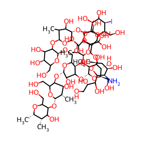 CC1C(O)[C@H](O[C@@H]2OC(CO[C@]3(C(=O)O)C[C@@H](O)[C@@H](N)C(C(O)C(O)CO)O3)[C@H](O)C(O)C2O)[C@H](CO)O[C@H]1O[C@@H]1C(O)[C@H](O)C(CO)O[C@@H]1OCC1O[C@@H](O[C@@H]2C(CO)O[C@@H](O[C@@H]3C(CO)O[C@@H](C)[C@@H](C)C3O)[C@@H](C)C2O)[C@H](O)C(O[C@H]2O[C@H](CO)[C@@H](O)C(O)C2O[C@@H]2OC(CO)[C@H](O[C@@H]3OC(CO)[C@H](I)C(O)[C@@H]3O)C(O)[C@@H]2C)[C@@H]1O